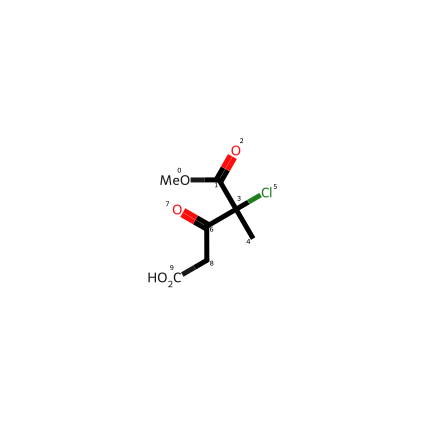 COC(=O)C(C)(Cl)C(=O)CC(=O)O